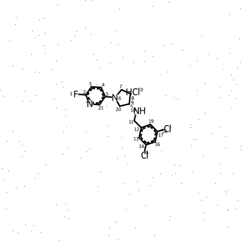 Cl.Fc1ccc(N2CC[C@H](NCc3cc(Cl)cc(Cl)c3)C2)cn1